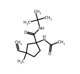 C=CC1(C)CCC(NC(C)=O)(C(=O)NC(C)(C)C)C1